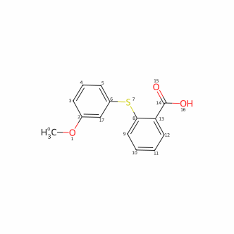 COc1cccc(Sc2ccccc2C(=O)O)c1